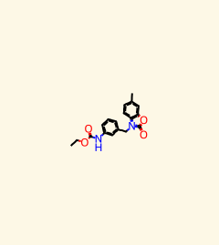 CCOC(=O)Nc1cccc(Cn2c(=O)oc3cc(C)ccc32)c1